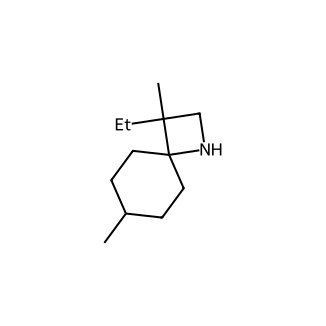 CCC1(C)CNC12CCC(C)CC2